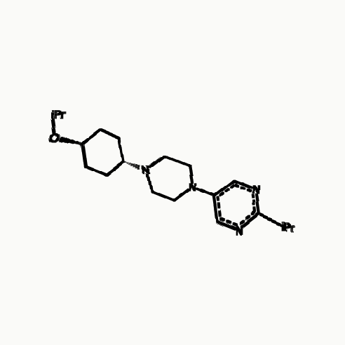 CC(C)O[C@H]1CC[C@H](N2CCN(c3cnc(C(C)C)nc3)CC2)CC1